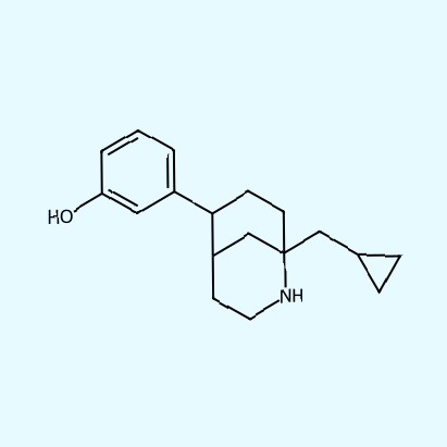 Oc1cccc(C2CCC3(CC4CC4)CC2CCN3)c1